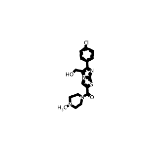 CN1CCN(C(=O)c2cn3c(CO)c(-c4ccc(Cl)cc4)nc3s2)CC1